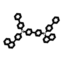 c1ccc(-c2ccc(N(c3ccc(-c4ccc(N(c5ccc(-c6ccccc6)cc5)c5cccc6ccccc56)cc4)cc3)c3ccc(-c4cccc5ccccc45)cc3)cc2)cc1